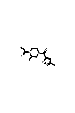 Cc1cc(C(=O)N2CCN(C(=O)O)C(C)C2)no1